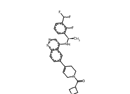 C[C@@H](Nc1cnnc2ccc(C3=CCN(C(=O)C4COC4)CC3)cc12)c1cccc(C(F)F)c1F